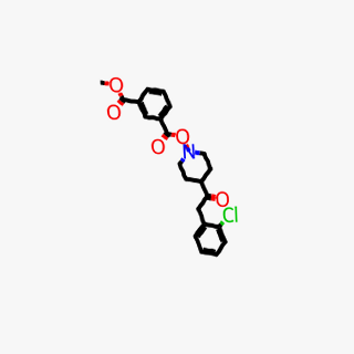 COC(=O)c1cccc(C(=O)ON2CCC(C(=O)Cc3ccccc3Cl)CC2)c1